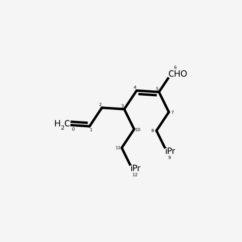 C=CCC(C=C(C=O)CCC(C)C)CCC(C)C